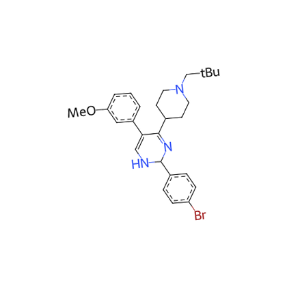 COc1cccc(C2=CNC(c3ccc(Br)cc3)N=C2C2CCN(CC(C)(C)C)CC2)c1